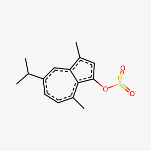 Cc1cc(O[SH](=O)=O)c2c(C)ccc(C(C)C)cc1-2